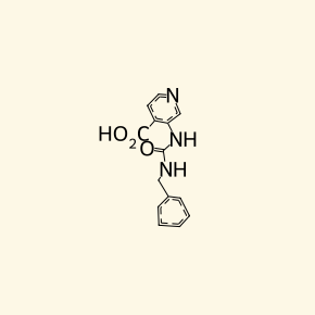 O=C(NCc1ccccc1)Nc1cnccc1C(=O)O